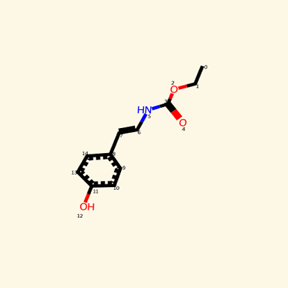 CCOC(=O)NC=Cc1ccc(O)cc1